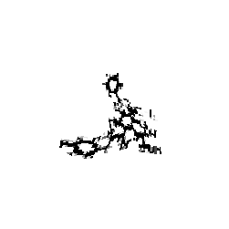 CC(=O)c1c(OCc2ccccc2)c2ncc(Cc3ccc(F)cc3)c(Br)c2n(C[C@@H](O)CO)c1=O